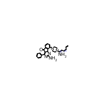 C=C/C=C\C=C(/N)N1CCN(c2cccc3c2-c2nc(N)nc(-c4ccccc4)c2C3=O)CC1